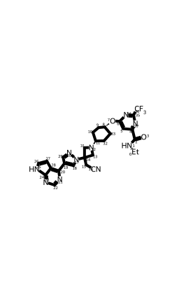 CCNC(=O)c1cc(O[C@H]2CC[C@@H](N3CC(CC#N)(n4cc(-c5ncnc6[nH]ccc56)cn4)C3)CC2)nc(C(F)(F)F)n1